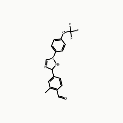 Cc1cc(C2N=CN(c3ccc(OC(F)(F)F)cc3)N2)ccc1C=O